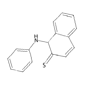 S=C1C=Cc2ccccc2C1Nc1ccccc1